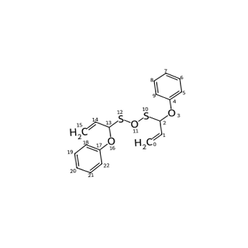 C=CC(Oc1ccccc1)SOSC(C=C)Oc1ccccc1